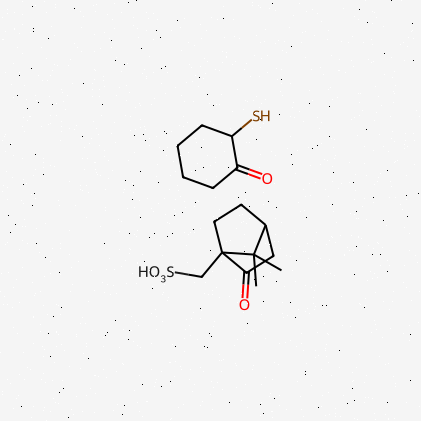 CC1(C)C2CCC1(CS(=O)(=O)O)C(=O)C2.O=C1CCCCC1S